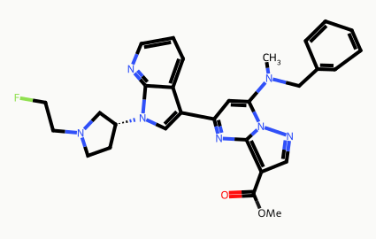 COC(=O)c1cnn2c(N(C)Cc3ccccc3)cc(-c3cn([C@@H]4CCN(CCF)C4)c4ncccc34)nc12